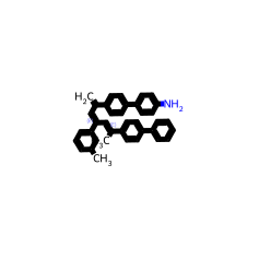 C=C(/C=C(\C=C(/C)c1ccc(-c2ccccc2)cc1)C1=CC=CC(C)C1)c1ccc(-c2ccc(N)cc2)cc1